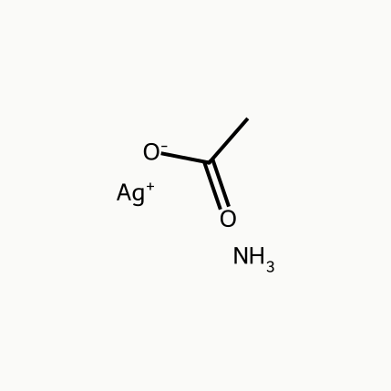 CC(=O)[O-].N.[Ag+]